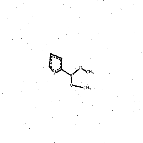 COB(OC)c1cccs1